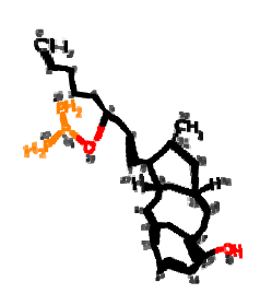 CCCCC[C@@H](/C=C/[C@@H]1[C@H]2Cc3cccc(O)c3C[C@H]2C[C@H]1C)OP(P)P